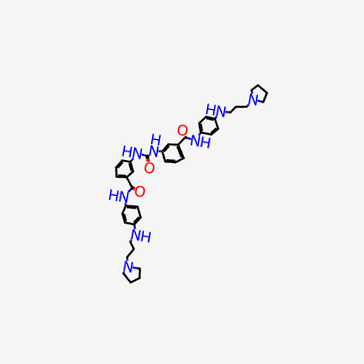 O=C(Nc1cccc(C(=O)Nc2ccc(NCCCN3CCCC3)cc2)c1)Nc1cccc(C(=O)Nc2ccc(NCCCN3CCCC3)cc2)c1